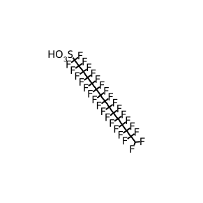 O=S(=O)(O)C(F)(F)C(F)(F)C(F)(F)C(F)(F)C(F)(F)C(F)(F)C(F)(F)C(F)(F)C(F)(F)C(F)(F)C(F)(F)C(F)(F)C(F)(F)C(F)(F)C(F)F